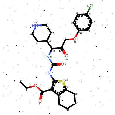 CCOC(=O)c1c(NC(=O)NC(C(=O)COc2ccc(Cl)cc2)C2CCNCC2)sc2c1CCCC2